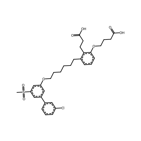 CS(=O)(=O)c1cc(OCCCCCCc2cccc(OCCCC(=O)O)c2CCC(=O)O)cc(-c2cccc(Cl)c2)c1